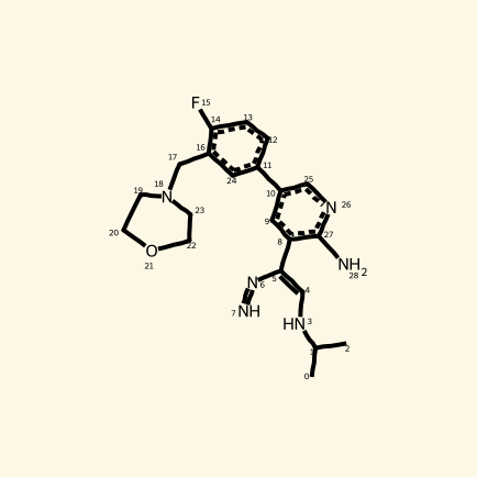 CC(C)N/C=C(\N=N)c1cc(-c2ccc(F)c(CN3CCOCC3)c2)cnc1N